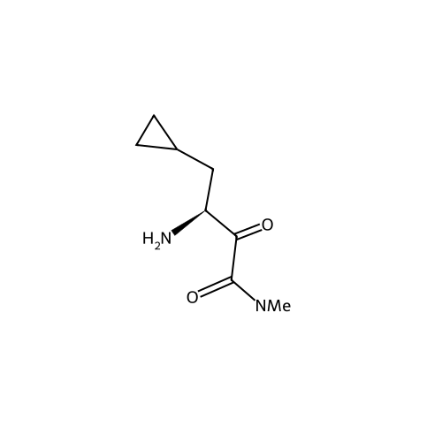 CNC(=O)C(=O)[C@@H](N)CC1CC1